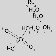 O.O.O.O.[O]=[Cr](=[O])([OH])[OH].[Ru]